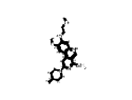 COCCOc1cc2ncc3c(N)nc(N4CCC(C)CC4)cc3c2cc1OC